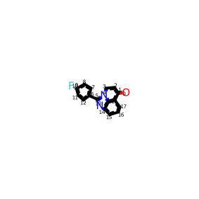 O=c1ccn2c(-c3ccc(F)cc3)nc3cccc1c32